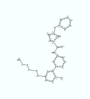 O=C(Nc1cc(-c2cc(OCCCCO)ccc2Cl)ccn1)c1nnc(Cc2ccccc2)[nH]1